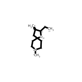 C=C1CC2(CCN(C)CC2)OC1CC